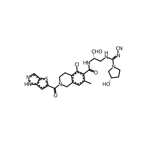 Cc1cc2c(c(Cl)c1C(=O)N[C@H](C=O)CN/C(=N\C#N)N1CC[C@H](O)C1)CCN(C(=O)c1cc3[nH]ncc3s1)C2